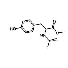 COC(=O)C(Cc1ccc(O)cc1)NC(C)=O